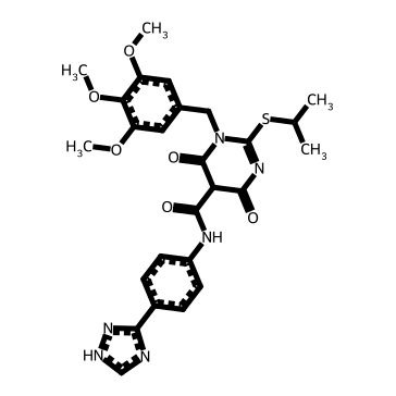 COc1cc(CN2C(=O)C(C(=O)Nc3ccc(-c4nc[nH]n4)cc3)C(=O)N=C2SC(C)C)cc(OC)c1OC